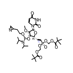 CO[C@H]1[C@@H](OP(OCCC2C=N2)N(C(C)C)C(C)C)[C@@H](/C=C/P(=O)(OCOC(=O)C(C)(C)C)OCOC(=O)C(C)(C)C)O[C@H]1n1ccc(=O)[nH]c1=O